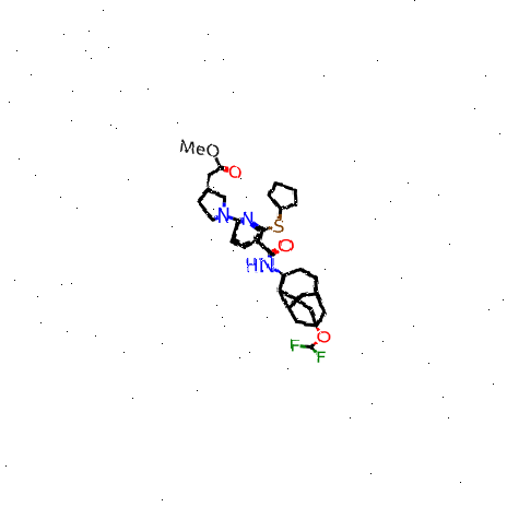 COC(=O)C[C@@H]1CCN(c2ccc(C(=O)N[C@H]3CCC4CC5C[C@@](OC(F)F)(C4)CC53)c(SC3CCCC3)n2)C1